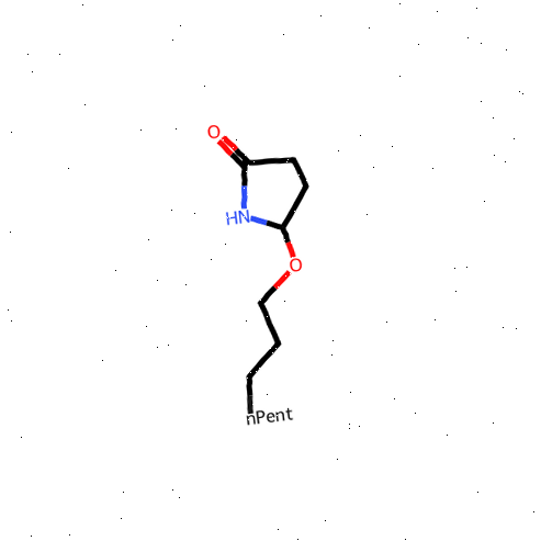 CCCCCCCCOC1CCC(=O)N1